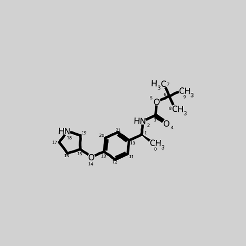 C[C@H](NC(=O)OC(C)(C)C)c1ccc(OC2CCNC2)cc1